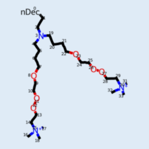 CCCCCCCCCCCCN(CCCCOCCOOCC[N+](C)(C)C)CCCCOCCOOCC[N+](C)(C)C